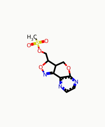 CS(=O)(=O)OCC1ON=C2c3nccnc3OCC21